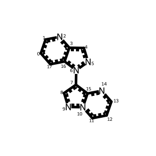 c1cnc2cnn(-c3cnn4cccnc34)c2c1